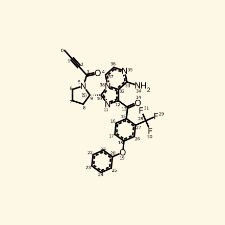 CC#CC(=O)N1CCC[C@H]1c1nc(C(=O)c2ccc(Oc3ccccc3)cc2C(F)(F)F)c2c(N)nccn12